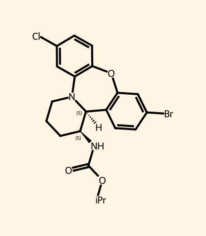 CC(C)OC(=O)N[C@H]1CCCN2c3cc(Cl)ccc3Oc3cc(Br)ccc3[C@@H]12